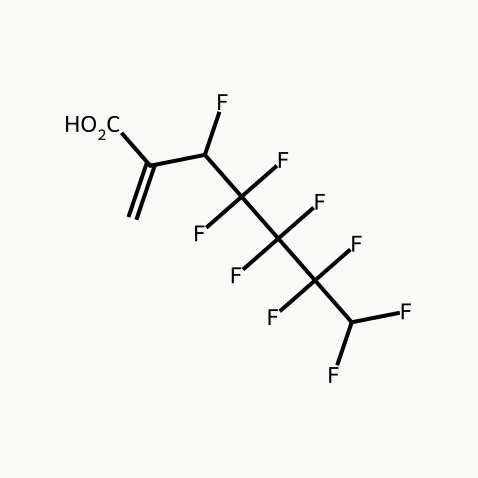 C=C(C(=O)O)C(F)C(F)(F)C(F)(F)C(F)(F)C(F)F